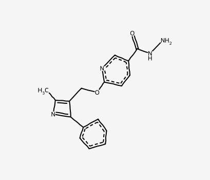 CC1=C(COc2ccc(C(=O)NN)cn2)C(c2ccccc2)=N1